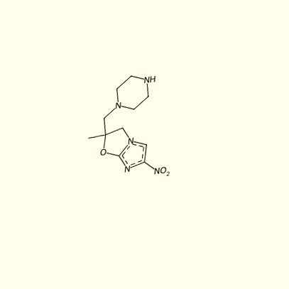 CC1(CN2CCNCC2)Cn2cc([N+](=O)[O-])nc2O1